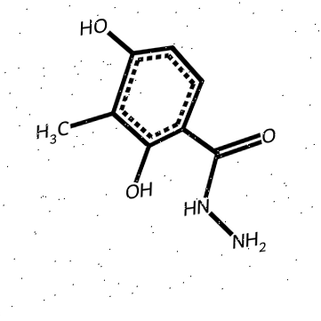 Cc1c(O)ccc(C(=O)NN)c1O